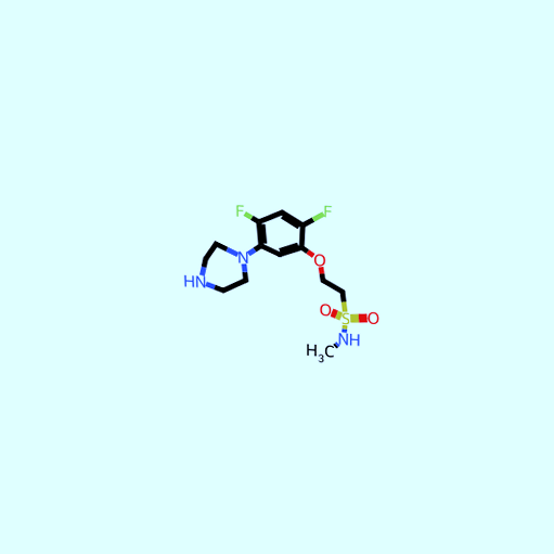 CNS(=O)(=O)CCOc1cc(N2CCNCC2)c(F)cc1F